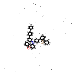 c1ccc(-c2ccc(-c3cccc(N(c4ccc(-c5cccc6c5sc5ccccc56)cc4)c4cccc5oc6ccccc6c45)c3)cc2)cc1